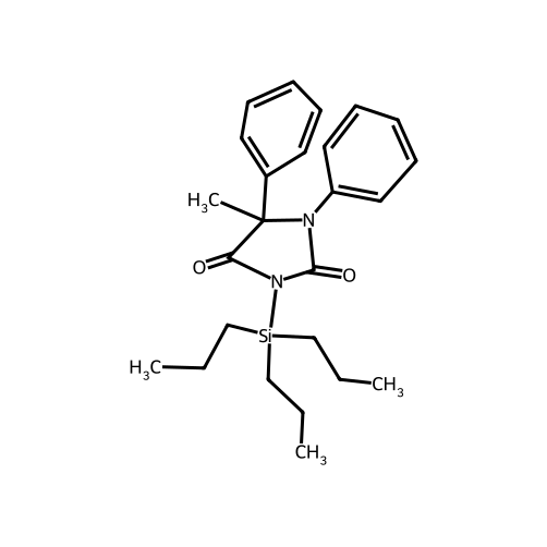 CCC[Si](CCC)(CCC)N1C(=O)N(c2ccccc2)C(C)(c2ccccc2)C1=O